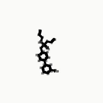 C=CCOP(=O)(CC=C)Cc1ccc(-c2cccc(F)c2)cn1